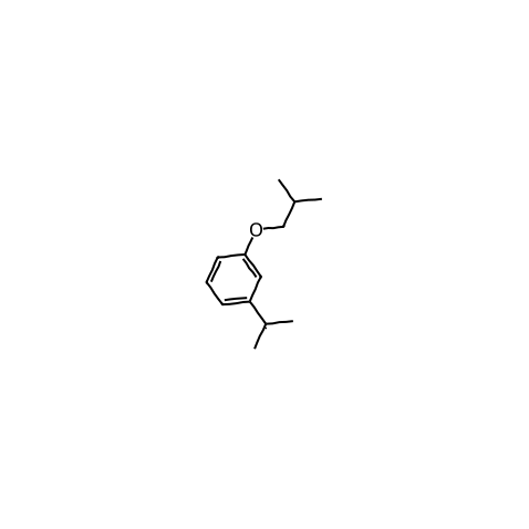 C[C](C)c1cccc(OCC(C)C)c1